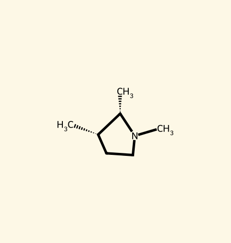 C[C@H]1CCN(C)[C@H]1C